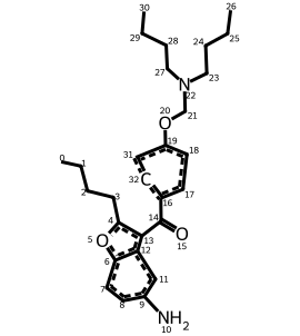 CCCCc1oc2ccc(N)cc2c1C(=O)c1ccc(OCN(CCCC)CCCC)cc1